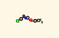 FC(F)(F)c1ccc(COC[C@@H]2CCCN(CC3(c4ccc(Cl)cc4)CCC3)C2)cc1